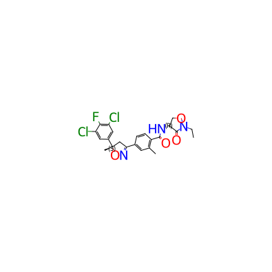 CCN1OC[C@@H](NC(=O)c2ccc(C3=NO[C@](C)(c4cc(Cl)c(F)c(Cl)c4)C3)cc2C)C1=O